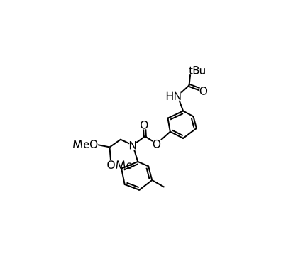 COC(CN(C(=O)Oc1cccc(NC(=O)C(C)(C)C)c1)c1cccc(C)c1)OC